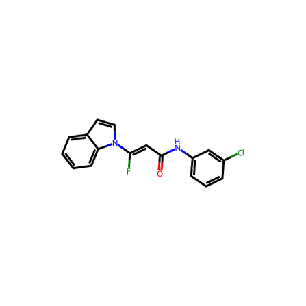 O=C(C=C(F)n1ccc2ccccc21)Nc1cccc(Cl)c1